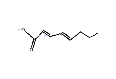 CCCC=C/C=C/C(=O)O